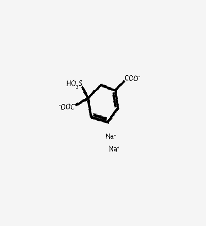 O=C([O-])C1=CC=CC(C(=O)[O-])(S(=O)(=O)O)C1.[Na+].[Na+]